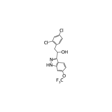 OC(Cc1ccc(Cl)cc1Cl)c1n[nH]c2cc(OC(F)(F)F)ccc12